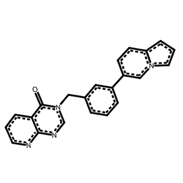 O=c1c2cccnc2ncn1Cc1cccc(-c2ccc3cccn3c2)c1